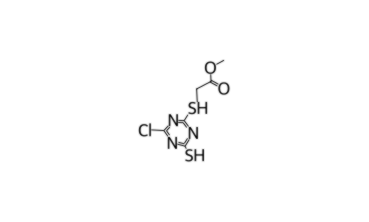 CCC(=O)OC.Sc1nc(S)nc(Cl)n1